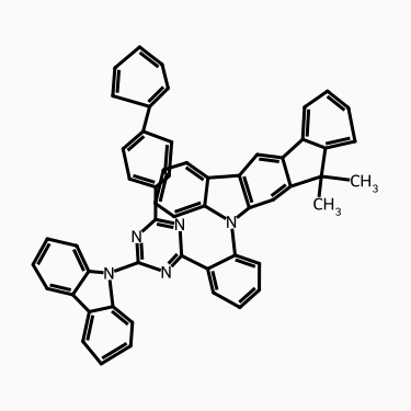 CC1(C)c2ccccc2-c2cc3c4ccccc4n(-c4ccccc4-c4nc(-c5ccc(-c6ccccc6)cc5)nc(-n5c6ccccc6c6ccccc65)n4)c3cc21